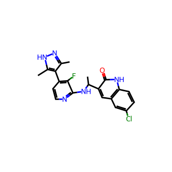 Cc1n[nH]c(C)c1-c1ccnc(NC(C)c2cc3cc(Cl)ccc3[nH]c2=O)c1F